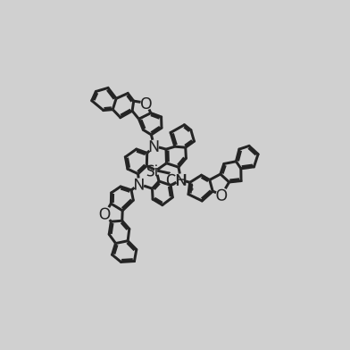 CC[Si]12c3c4cccc3N(c3ccc5oc6cc7ccccc7cc6c5c3)c3cc5ccccc5c(c31)N(c1ccc3oc5cc6ccccc6cc5c3c1)c1cccc(c12)N4c1ccc2oc3cc4ccccc4cc3c2c1